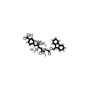 CC(CNC(=O)OCC1c2ccccc2-c2ccccc21)CC(N)[C@@](C)(N)Cc1ccc(C(=O)O)cc1